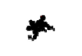 CCCCc1ccc2c(c1)c1cc(C)cc3c1n2-c1cc(-c2ccccc2)cc2c1B3c1cc3c(cc1N2c1ccc(I)cc1)Oc1cc(-c2ccccc2)cc2c1B3c1c(C)ccc3c4cc(CCCC)ccc4n-2c13